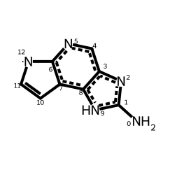 Nc1nc2cnc3c(c2[nH]1)C=C[N]3